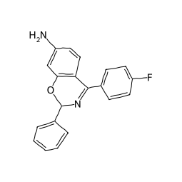 Nc1ccc2c(c1)OC(c1ccccc1)N=C2c1ccc(F)cc1